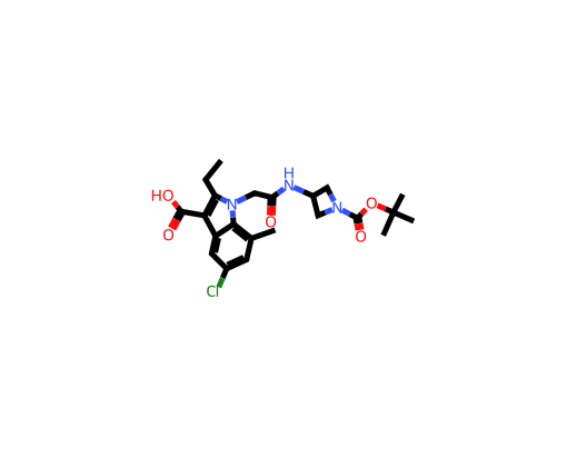 CCc1c(C(=O)O)c2cc(Cl)cc(C)c2n1CC(=O)NC1CN(C(=O)OC(C)(C)C)C1